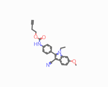 C#CCCOC(=O)Nc1ccc(-c2c(C#N)c3ccc(OC)cc3n2CC)cc1